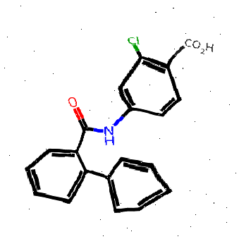 O=C(O)c1ccc(NC(=O)c2ccccc2-c2ccccc2)cc1Cl